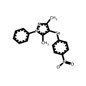 Cc1nn(-c2ccccc2)c(C)c1[Se]c1ccc([N+](=O)[O-])cc1